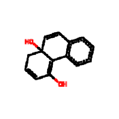 OC1=C2c3ccccc3C=CC2(O)CC=C1